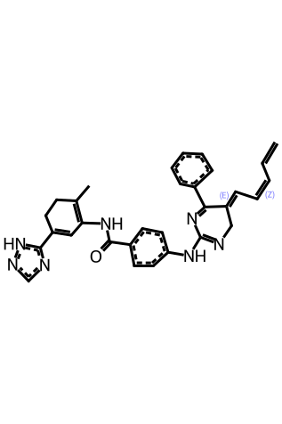 C=C/C=C\C=C1/CN=C(Nc2ccc(C(=O)NC3=C(C)CCC(c4ncn[nH]4)=C3)cc2)N=C1c1ccccc1